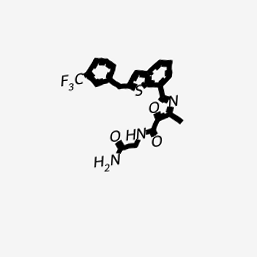 Cc1nc(-c2cccc3cc(Cc4cccc(C(F)(F)F)c4)sc23)oc1C(=O)NCC(N)=O